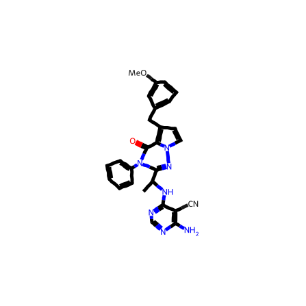 COc1cccc(Cc2ccn3nc(C(C)Nc4ncnc(N)c4C#N)n(-c4ccccc4)c(=O)c23)c1